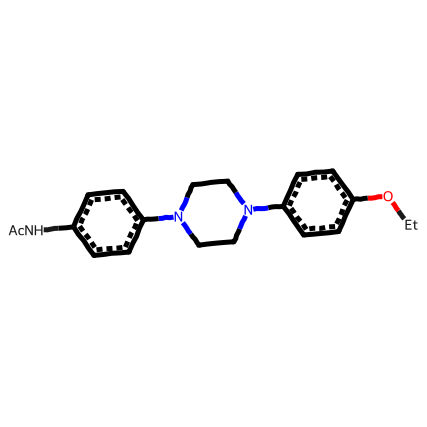 CCOc1ccc(N2CCN(c3ccc(NC(C)=O)cc3)CC2)cc1